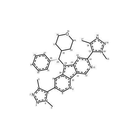 Cc1nnn(C)c1-c1cnc2c3cnc(-c4c(C)nnn4C)nc3n([C@H](c3ccccc3)C3CCOCC3)c2c1